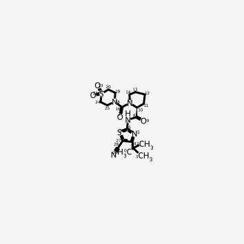 CC(C)(C)c1nc(NC(=O)[C@@H]2CCCCN2C(=O)N2CCS(=O)(=O)CC2)sc1C#N